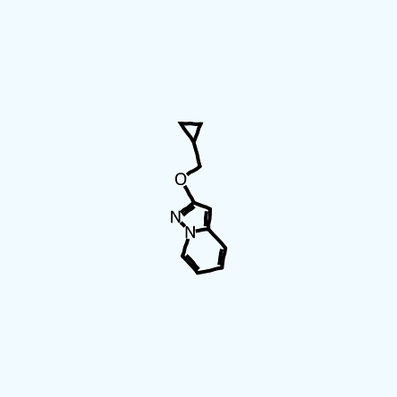 c1ccn2nc(OCC3CC3)cc2c1